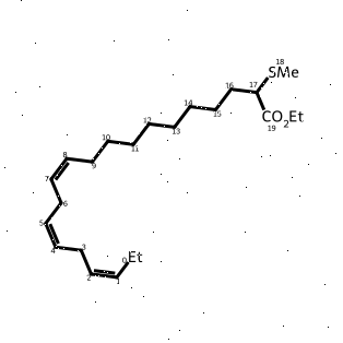 CC/C=C\C/C=C\C/C=C\CCCCCCCCC(SC)C(=O)OCC